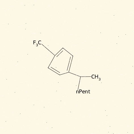 CCCCCC(C)c1ccc(C(F)(F)F)cc1